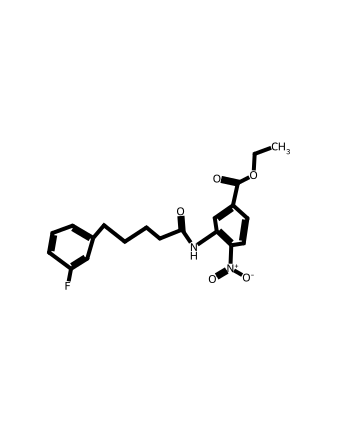 CCOC(=O)c1ccc([N+](=O)[O-])c(NC(=O)CCCCc2cccc(F)c2)c1